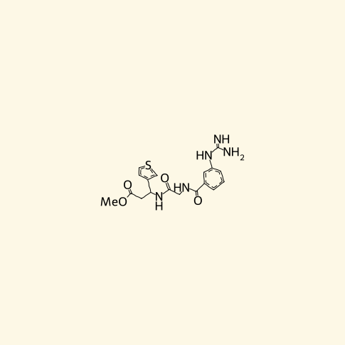 COC(=O)CC(NC(=O)CNC(=O)c1cccc(NC(=N)N)c1)c1ccsc1